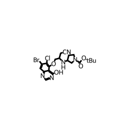 CC(C)(C)OC(=O)N1CCC(NC(CC#N)COc2c(Cl)c(Br)cc3ncnc(O)c23)C1